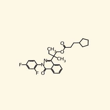 CCC(C)(COC(=O)CCC1CCCC1)c1nn(-c2ccc(F)cc2F)c(=O)c2ccccc12